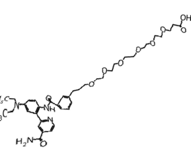 CCN(CC)c1ccc(NC(=O)c2cccc(CCCOCCOCCOCCOCCOCCOCCC(=O)O)c2)c(-c2cc(C(N)=O)ccn2)c1